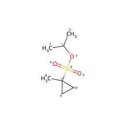 CC(C)OS(=O)(=O)C1(C)CC1